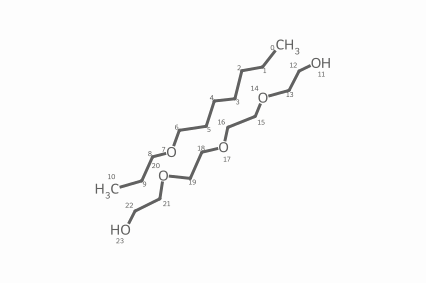 CCCCCCCOCCC.OCCOCCOCCOCCO